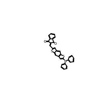 O=C1C(=Cc2cc3cc4sc(N(c5ccccc5)c5ccccc5)cc4cc3s2)C(=O)c2ccccc21